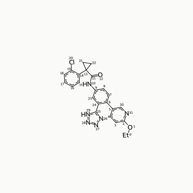 CCOc1ccc(-c2ccc(NC(=O)C3(c4ccccc4Cl)CC3)cc2-c2nnn[nH]2)cn1